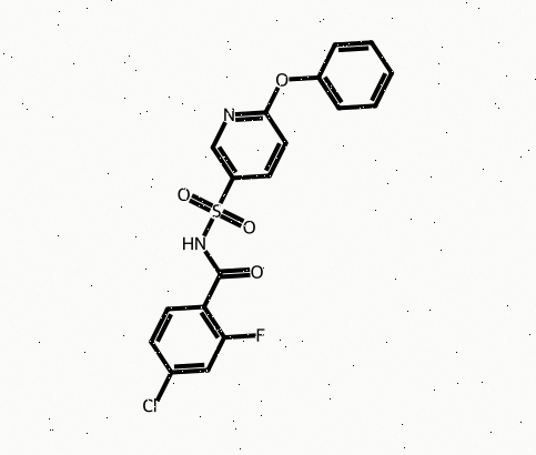 O=C(NS(=O)(=O)c1ccc(Oc2ccccc2)nc1)c1ccc(Cl)cc1F